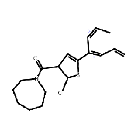 C=C/C=C(\C=C/C)C1=CC(C(=O)N2CCCCCC2)C(Cl)S1